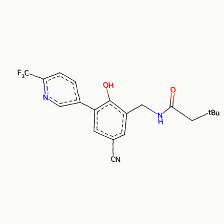 CC(C)(C)CC(=O)NCc1cc(C#N)cc(-c2ccc(C(F)(F)F)nc2)c1O